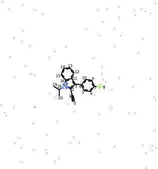 C#Cc1c(-c2ccc(F)cc2)c2ccccc2n1C(C)C